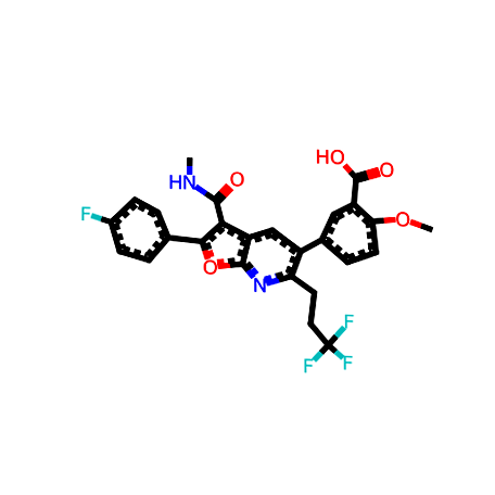 CNC(=O)c1c(-c2ccc(F)cc2)oc2nc(CCC(F)(F)F)c(-c3ccc(OC)c(C(=O)O)c3)cc12